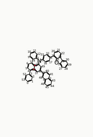 c1ccc(-c2ccc(-c3ccccc3N(c3ccc(-c4cccc5c4oc4ccccc45)cc3)c3cccc(-c4ccc5ccccc5c4)c3)cc2)cc1